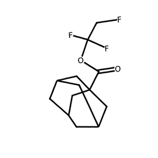 O=C(OC(F)(F)CF)C12CC3CC(CC(C3)C1)C2